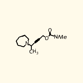 CNC(=O)OCC#CC(C)N1CCCCCC1